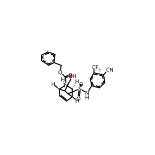 N#Cc1ccc(NS(=O)(=O)[C@@H]2[C@H](CO)[C@@H]3C=C[C@H]2CN3C(=O)OCc2ccccc2)cc1C(F)(F)F